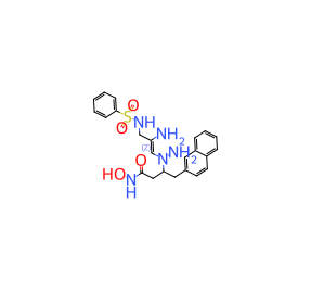 N/C(=C\N(N)C(CC(=O)NO)Cc1ccc2ccccc2c1)CNS(=O)(=O)c1ccccc1